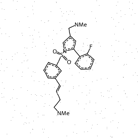 CNCC/C=C/c1cccc(S(=O)(=O)n2cc(CNC)cc2-c2ccccc2F)c1